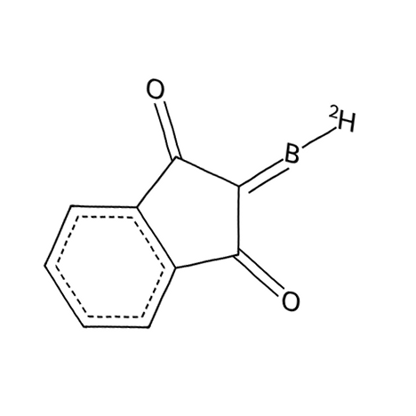 [2H]B=C1C(=O)c2ccccc2C1=O